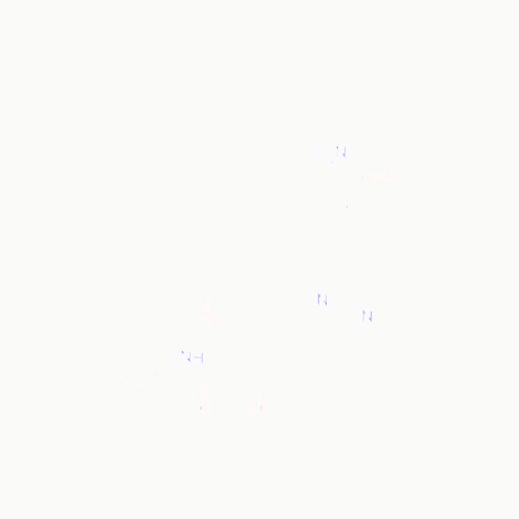 COc1cc(-c2cnc3cc(C(C)(C)C(N)=O)ccn23)cc(OC)c1C(=O)NC1CC1